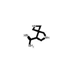 N=C(N)C1CNCC12CNC2